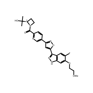 COCCOc1cc2[nH]nc(-c3cc(-c4ccc(C(=O)N5CC[C@@H]5C(C)(C)O)nc4)no3)c2cc1F